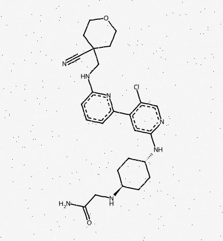 N#CC1(CNc2cccc(-c3cc(N[C@H]4CC[C@H](NCC(N)=O)CC4)ncc3Cl)n2)CCOCC1